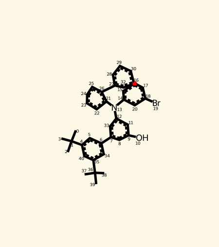 CC(C)(C)c1cc(-c2cc(O)cc(N(c3cccc(Br)c3)c3ccccc3-c3ccccc3)c2)cc(C(C)(C)C)c1